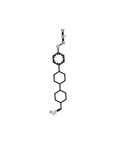 C=CC1CCC(C2CCC(c3ccc(ON=[N+]=[N-])cc3)CC2)CC1